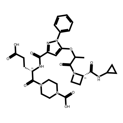 CC(Oc1cc(C(=O)N[C@@H](CCC(=O)O)C(=O)N2CCN(C(=O)O)CC2)nn1-c1ccccc1)C(=O)N1CC[C@H]1C(=O)NC1CC1